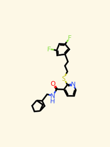 O=C(NCC1CC2CCC1C2)c1cccnc1SCCCc1cc(F)cc(F)c1